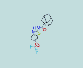 O=C(Nc1nc2ccc(OC(F)F)cc2s1)C12CC3CC(CC(C3)C1)C2